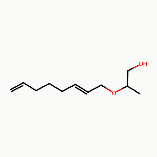 C=CCCCC=CCOC(C)CO